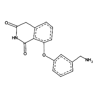 NCc1cccc(Oc2cccc3c2C(=O)NC(=O)C3)c1